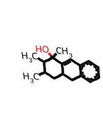 CC1CC2Cc3ccccc3C=C2C(C)(O)C1C